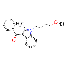 CCOCCCCn1c(C)c(C(=O)c2ccccc2)c2ccccc21